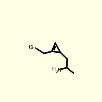 CC(N)CC1C=C1CC(C)(C)C